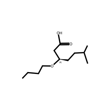 CCCCO[C@H](CCC(C)C)CC(=O)O